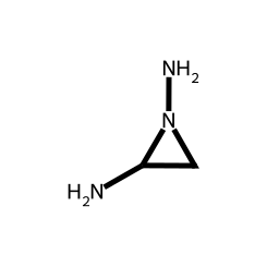 NC1CN1N